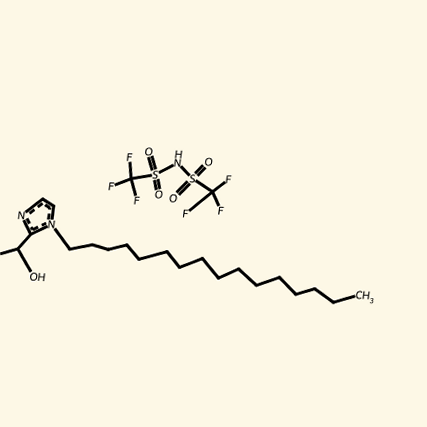 CCCCCCCCCCCCCCCCn1ccnc1C(C)O.O=S(=O)(NS(=O)(=O)C(F)(F)F)C(F)(F)F